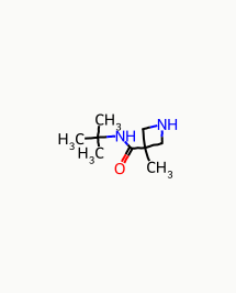 CC(C)(C)NC(=O)C1(C)CNC1